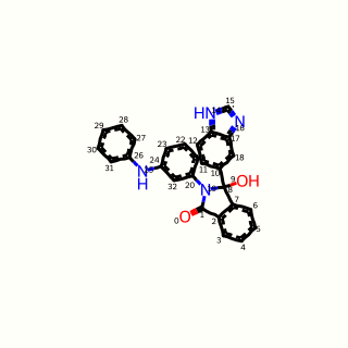 O=C1c2ccccc2C(O)(c2ccc3[nH][c]nc3c2)N1c1cccc(Nc2ccccc2)c1